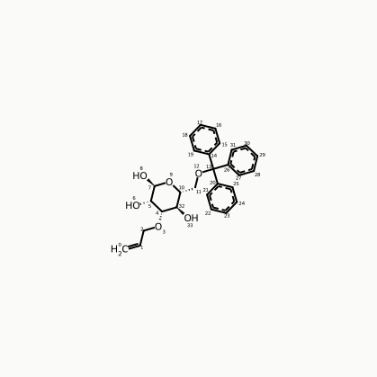 C=CCO[C@@H]1[C@H](O)[C@@H](O)O[C@H](COC(c2ccccc2)(c2ccccc2)c2ccccc2)[C@H]1O